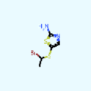 CC(Br)Sc1cnc(N)s1